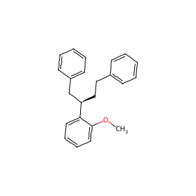 COc1ccccc1[C@H](CCc1ccccc1)Cc1ccccc1